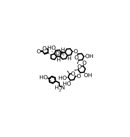 C[C@H]1O[C@@H](O[C@H]2[C@@H](O)C[C@H](O[C@H]3[C@@H](O)C[C@H](O[C@H]4CC[C@@]5(C)[C@H](CC[C@@H]6[C@@H]5C[C@@H](O)[C@]5(C)[C@@H](C7=CC(=O)OC7)CC[C@]65O)C4)O[C@@H]3C)O[C@@H]2C)C[C@H](O)[C@@H]1O.NCCc1ccc(O)cc1